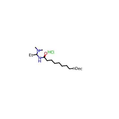 CCCCCCCCCCCCCCCCCC(=O)NC(CC)N(C)C.Cl